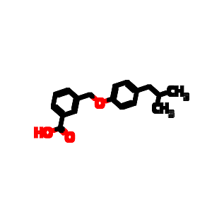 CC(C)Cc1ccc(OCc2cccc(C(=O)O)c2)cc1